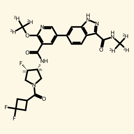 [2H]C([2H])([2H])NC(=O)c1n[nH]c2cc(-c3cnc(OC([2H])([2H])[2H])c(C(=O)N[C@@H]4CN(C(=O)C5CC(F)(F)C5)C[C@@H]4F)c3)ccc12